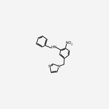 O=[N+]([O-])c1ccc(Cn2ccnc2)cc1NCc1ccccc1